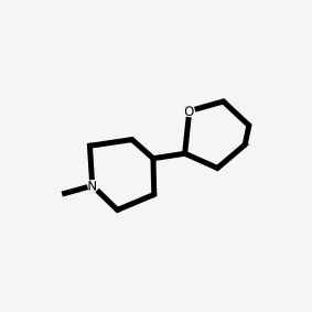 CN1CCC(C2C[CH]CCO2)CC1